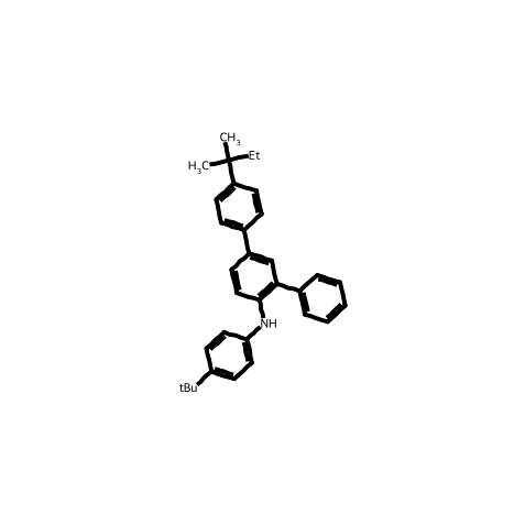 CCC(C)(C)c1ccc(-c2ccc(Nc3ccc(C(C)(C)C)cc3)c(-c3ccccc3)c2)cc1